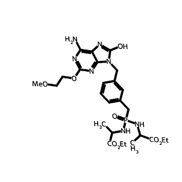 CCOC(=O)C(C)NP(=O)(Cc1cccc(Cn2c(O)nc3c(N)nc(OCCOC)nc32)c1)NC(C)C(=O)OCC